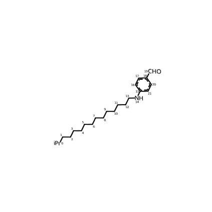 CC(C)CCCCCCCCCCCCCNc1ccc(C=O)cc1